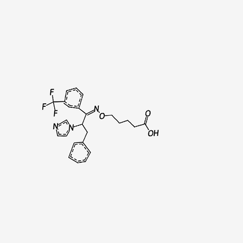 O=C(O)CCCCON=C(c1cccc(C(F)(F)F)c1)C(Cc1ccccc1)n1ccnc1